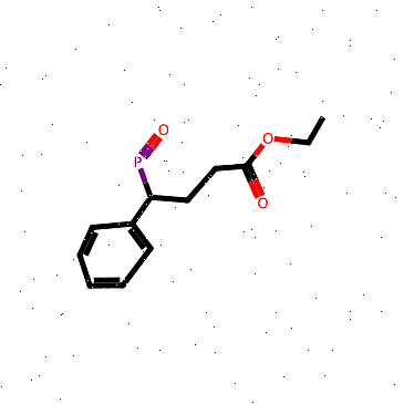 CCOC(=O)CCC(P=O)c1ccccc1